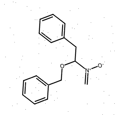 C=[N+]([O-])C(Cc1ccccc1)OCc1ccccc1